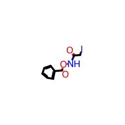 O=C(CI)NOC(=O)c1ccccc1